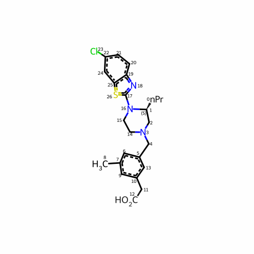 CCC[C@H]1CN(Cc2cc(C)cc(CC(=O)O)c2)CCN1c1nc2ccc(Cl)cc2s1